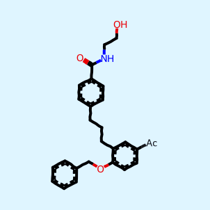 CC(=O)c1ccc(OCc2ccccc2)c(CCCc2ccc(C(=O)NCCO)cc2)c1